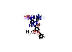 COc1cc(C(Nc2ccc(C(=N)NO)cc2)C(=O)NCCc2cnc[nH]2)ccc1OCc1ccccc1